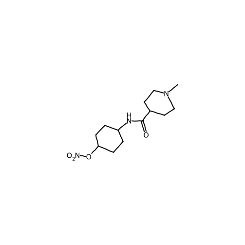 CN1CCC(C(=O)NC2CCC(O[N+](=O)[O-])CC2)CC1